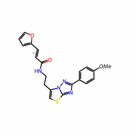 COc1ccc(-c2nc3scc(CCNC(=O)/C=C/c4ccco4)n3n2)cc1